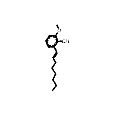 CCCCCCC=Cc1cccc(OC)c1O